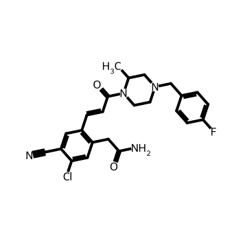 CC1CN(Cc2ccc(F)cc2)CCN1C(=O)C=Cc1cc(C#N)c(Cl)cc1CC(N)=O